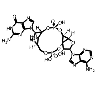 Nc1nc2c(ncn2[C@@H]2O[C@@H]3COP(=O)(O)O[C@]45[C@H](O[C@@H](n6cnc7c(N)ncnc76)[C@@H]4O)[C@@H]5OP(=O)(O)O[C@@H]2[C@@H]3O)c(=O)[nH]1